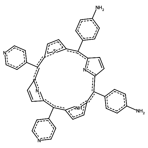 Nc1ccc(-c2c3nc(c(-c4ccc(N)cc4)c4ccc(s4)c(-c4ccncc4)c4nc(c(-c5ccncc5)c5ccc2[nH]5)C=C4)C=C3)cc1